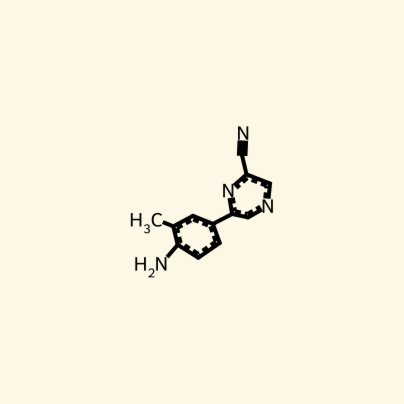 Cc1cc(-c2cncc(C#N)n2)ccc1N